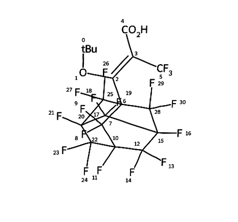 CC(C)(C)OC(=C(C(=O)O)C(F)(F)F)C12C(F)(F)C3(F)C(F)(F)C(F)(C(F)(F)C(F)(C3(F)F)C1(F)F)C2(F)F